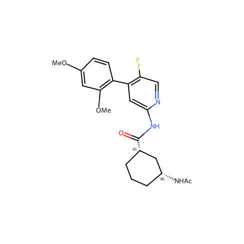 COc1ccc(-c2cc(NC(=O)[C@H]3CCC[C@@H](NC(C)=O)C3)ncc2F)c(OC)c1